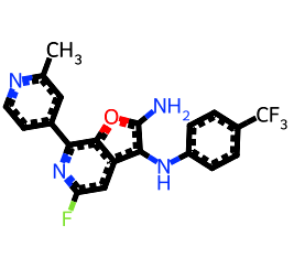 Cc1cc(-c2nc(F)cc3c(Nc4ccc(C(F)(F)F)cc4)c(N)oc23)ccn1